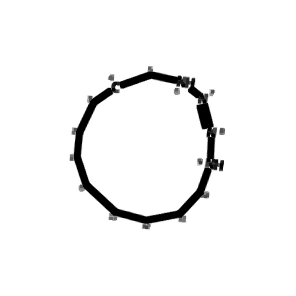 C1CCCCCNN=NNCCCC1